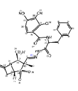 C[C@]1(/C=N/NC(=O)[C@H](Cc2ccccc2)NC(=O)c2ccc(O)c(O)c2Cl)[C@H](C(=O)O)N2C(=O)C[C@H]2S1(=O)=O